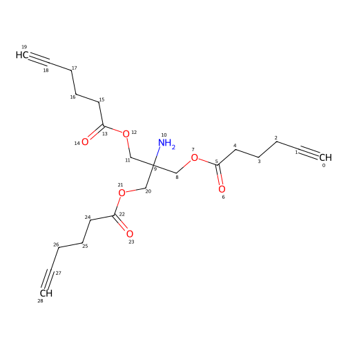 C#CCCCC(=O)OCC(N)(COC(=O)CCCC#C)COC(=O)CCCC#C